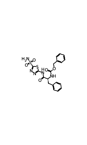 NS(=O)(=O)c1nnc(NC(=O)[C@H](Cc2ccccc2)NC(=O)OCc2ccccc2)s1